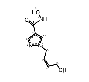 O=C(NO)c1cnn(C/C=C\CO)c1